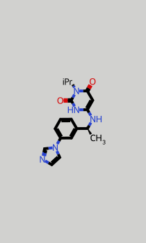 CC(C)n1c(=O)cc(N[C@@H](C)c2cccc(-n3ccnc3)c2)[nH]c1=O